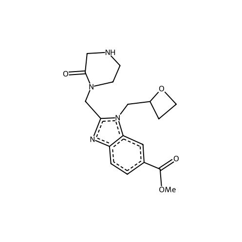 COC(=O)c1ccc2nc(CN3CCNCC3=O)n(CC3CCO3)c2c1